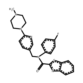 CN1CCN(c2ccc(CN(C(=O)c3nc4ccccc4s3)c3ccc(F)cc3)cn2)CC1